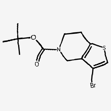 CC(C)(C)OC(=O)N1CCc2scc(Br)c2C1